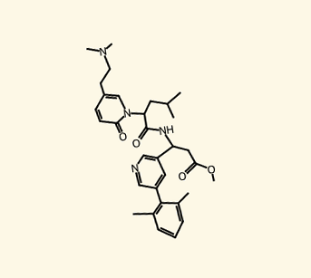 COC(=O)CC(NC(=O)C(CC(C)C)n1cc(CCN(C)C)ccc1=O)c1cncc(-c2c(C)cccc2C)c1